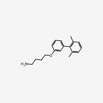 Cc1cccc(C)c1-c1cccc(OCCCCN)c1